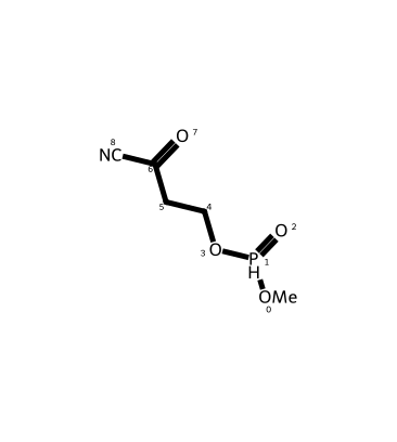 CO[PH](=O)OCCC(=O)C#N